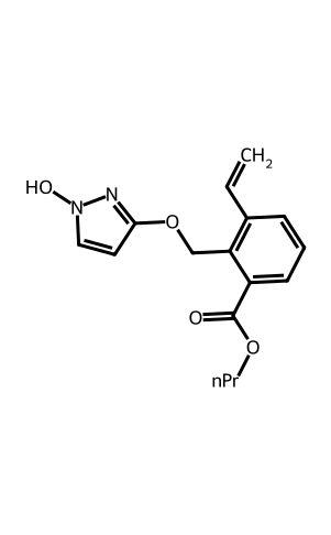 C=Cc1cccc(C(=O)OCCC)c1COc1ccn(O)n1